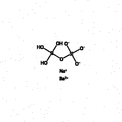 [Ba+2].[Na+].[O-][Si]([O-])([O-])O[Si](O)(O)O